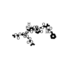 CC(C)OC(=O)OCOP(=O)(OCOC(=O)OC(C)C)OC[C@@]1(CF)O[C@@H](n2ccc(=O)n(COC(=O)C(NC(=O)OCc3ccccc3)C(C)C)c2=O)[C@](C)(O)[C@@H]1O